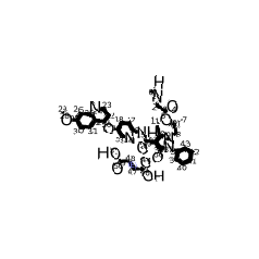 CNCC(=O)O[C@H](C)Cn1c(C)c(C(=O)Nc2ccc(Oc3ccnc4cc(OC)ccc34)cn2)c(=O)n1-c1ccccc1.O=C(O)/C=C/C(=O)O